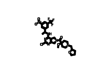 COC1(C(=O)N2Cc3nc(Cl)nc(NC(C)c4cc([N+](=O)[O-])cc(C(F)(F)F)c4)c3C2)CCN(CC2CCCO2)CC1